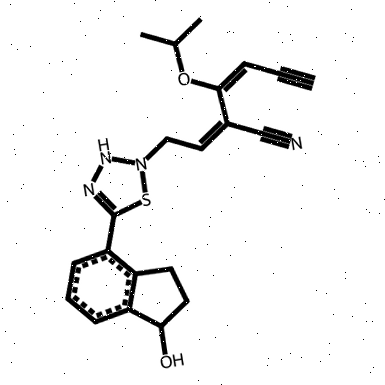 C#C/C=C(OC(C)C)\C(C#N)=C/CN1NN=C(c2cccc3c2CCC3O)S1